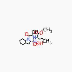 CCC[C@@H](N[C@@H](C)C(=O)N1C2CCCCC2C[C@H]1COO)C(=O)OCC